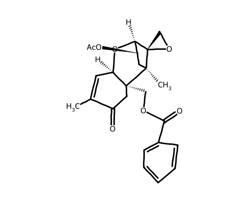 CC(=O)O[C@@H]1C[C@]2(C)[C@@]3(COC(=O)c4ccccc4)CC(=O)C(C)=C[C@H]3O[C@H]1[C@@]21CO1